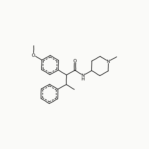 COc1ccc(C(C(=O)NC2CCN(C)CC2)C(C)c2ccccc2)cc1